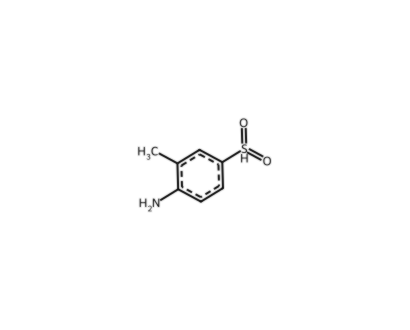 Cc1cc([SH](=O)=O)ccc1N